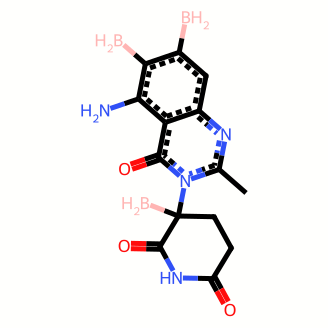 Bc1cc2nc(C)n(C3(B)CCC(=O)NC3=O)c(=O)c2c(N)c1B